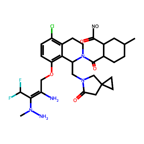 CC1CCC(C(=O)N2CCc3c(Cl)ccc(OC/C(N)=C(\C(F)F)N(C)N)c3C2CN2CC3(CC3)CC2=O)C(C(=O)N=O)C1